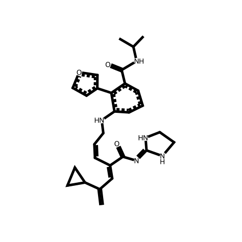 C=C(/C=C(\C=C/CNc1cccc(C(=O)NC(C)C)c1-c1ccoc1)C(=O)N=C1NCCN1)C1CC1